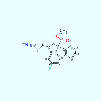 COC(=O)C(CCCCC#N)(c1ccccc1)c1ccc(F)cc1